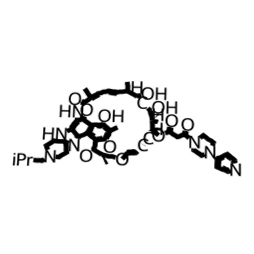 C/C1=C/C=C/C(C)[C@H](O)CC(O)[C@@H](C)[C@H](OC(=O)CC(=O)N2CCN(c3ccncc3)CC2)CC/C=C/O[C@@]2(C)Oc3c(C)c(O)c4c(c3C2=O)C2=NC3(CCN(CC(C)C)CC3)NC2=C(NC1=O)C4=O